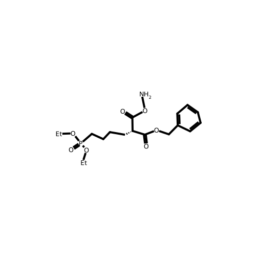 CCOP(=O)(CCCC[C@H](C(=O)ON)C(=O)OCc1ccccc1)OCC